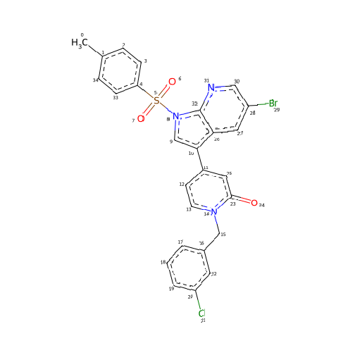 Cc1ccc(S(=O)(=O)n2cc(-c3ccn(Cc4cccc(Cl)c4)c(=O)c3)c3cc(Br)cnc32)cc1